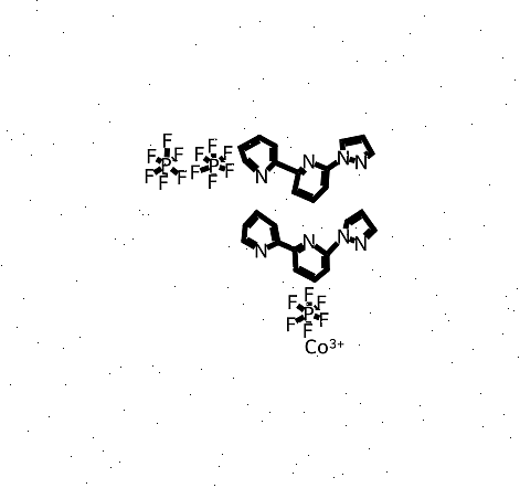 F[P-](F)(F)(F)(F)F.F[P-](F)(F)(F)(F)F.F[P-](F)(F)(F)(F)F.[Co+3].c1ccc(-c2cccc(-n3cccn3)n2)nc1.c1ccc(-c2cccc(-n3cccn3)n2)nc1